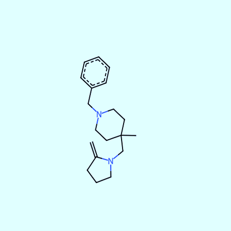 C=C1CCCN1CC1(C)CCN(Cc2ccccc2)CC1